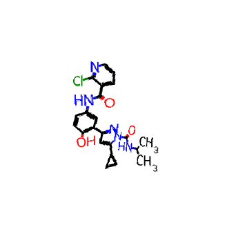 CC(C)NC(=O)n1nc(-c2cc(NC(=O)c3cccnc3Cl)ccc2O)cc1C1CC1